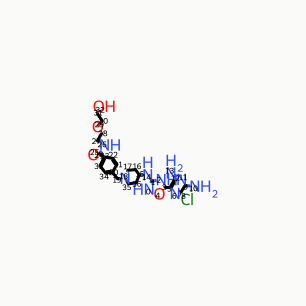 N=C(NC(=O)c1nc(Cl)c(N)nc1N)NC1CCN(Cc2ccc(C(=O)NCCOCCO)cc2)CC1